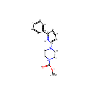 CC(C)(C)OC(=O)N1CCN(c2cccc(-c3ccccc3)n2)CC1